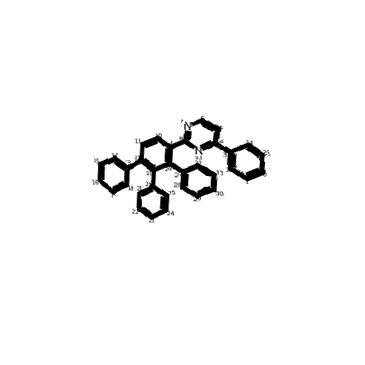 c1ccc(-c2ccnc(-c3ccc(-c4ccccc4)c(-c4ccccc4)c3-c3ccccc3)n2)cc1